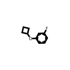 Fc1cccc(OC2CCC2)c1